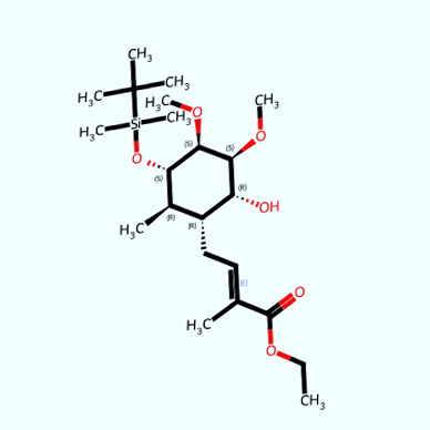 CCOC(=O)/C(C)=C/C[C@@H]1[C@@H](C)[C@H](O[Si](C)(C)C(C)(C)C)[C@@H](OC)[C@@H](OC)[C@@H]1O